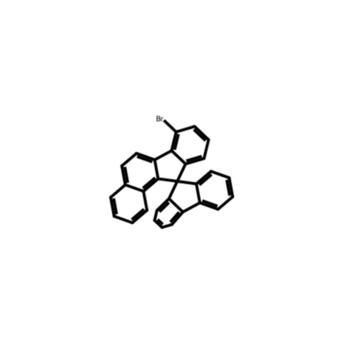 Brc1cccc2c1-c1ccc3ccccc3c1C21c2ccccc2-c2ccccc21